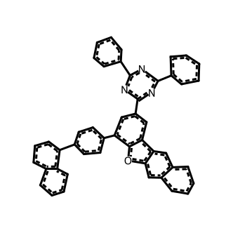 c1ccc(-c2nc(-c3ccccc3)nc(-c3cc(-c4ccc(-c5cccc6ccccc56)cc4)c4oc5cc6ccccc6cc5c4c3)n2)cc1